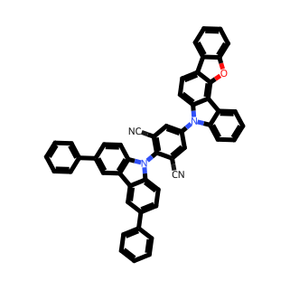 N#Cc1cc(-n2c3ccccc3c3c4oc5ccccc5c4ccc32)cc(C#N)c1-n1c2ccc(-c3ccccc3)cc2c2cc(-c3ccccc3)ccc21